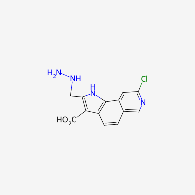 NNCc1[nH]c2c(ccc3cnc(Cl)cc32)c1C(=O)O